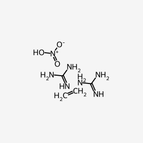 C=C.N=C(N)N.N=C(N)N.O=[N+]([O-])O